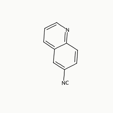 [C-]#[N+]c1ccc2ncccc2c1